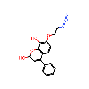 [N-]=[N+]=NCCOc1ccc2c(c1O)OC(O)C=C2c1ccccc1